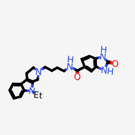 CCn1c2c(c3ccccc31)CCN(CCCCNC(=O)c1ccc3[nH]c(=O)[nH]c3c1)C2